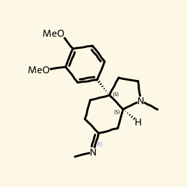 C/N=C1\CC[C@@]2(c3ccc(OC)c(OC)c3)CCN(C)[C@H]2C1